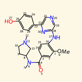 COc1cc(C(=O)N(C)C2CCN(C)C2)ccc1Nc1cncc(-c2ccc(O)cc2)n1